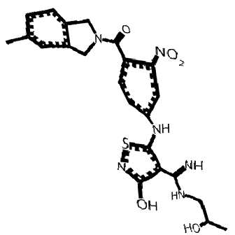 Cc1ccc2c(c1)CN(C(=O)c1ccc(Nc3snc(O)c3C(=N)NCC(C)O)cc1[N+](=O)[O-])C2